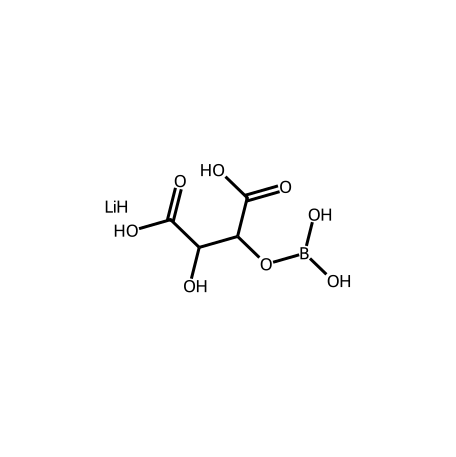 O=C(O)C(O)C(OB(O)O)C(=O)O.[LiH]